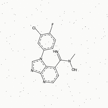 CN(O)C(=N)c1ccnc2ncn(-c3ccc(F)c(Cl)c3)c12